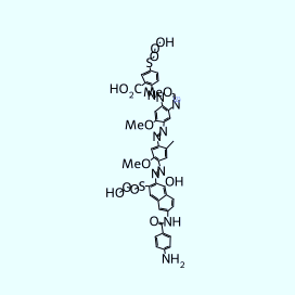 CO/C=N\c1cc(N=Nc2cc(OC)c(N=Nc3c(SOOO)cc4cc(NC(=O)c5ccc(N)cc5)ccc4c3O)cc2C)c(OC)cc1N=Nc1ccc(SOOO)cc1C(=O)O